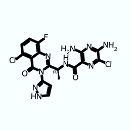 C[C@H](NC(=O)c1nc(Cl)c(N)nc1N)c1nc2c(F)ccc(Cl)c2c(=O)n1-c1cc[nH]n1